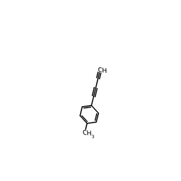 C#CC#Cc1ccc(C)cc1